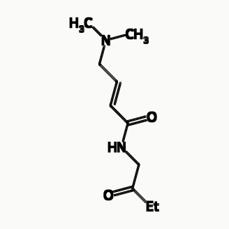 CCC(=O)CNC(=O)/C=C/CN(C)C